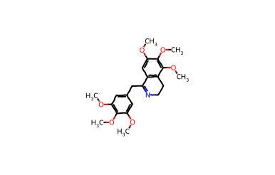 COc1cc(CC2=NCCc3c2cc(OC)c(OC)c3OC)cc(OC)c1OC